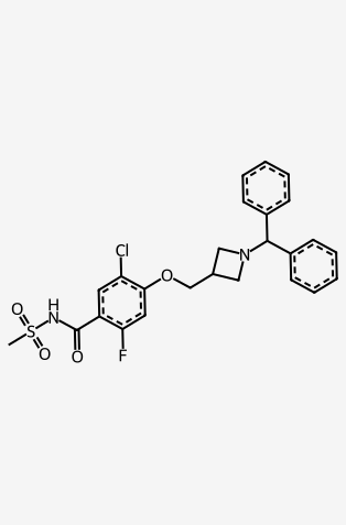 CS(=O)(=O)NC(=O)c1cc(Cl)c(OCC2CN(C(c3ccccc3)c3ccccc3)C2)cc1F